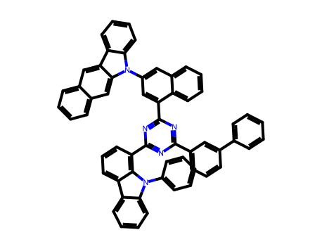 c1ccc(-c2cccc(-c3nc(-c4cc(-n5c6ccccc6c6cc7ccccc7cc65)cc5ccccc45)nc(-c4cccc5c6ccccc6n(-c6ccccc6)c45)n3)c2)cc1